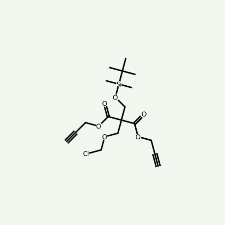 C#CCOC(=O)C(COCCl)(CO[Si](C)(C)C(C)(C)C)C(=O)OCC#C